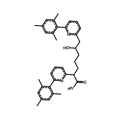 CCCC(=O)C(CCCC(O)Cc1cccc(-c2c(C)cc(C)cc2C)n1)c1cccc(-c2c(C)cc(C)cc2C)n1